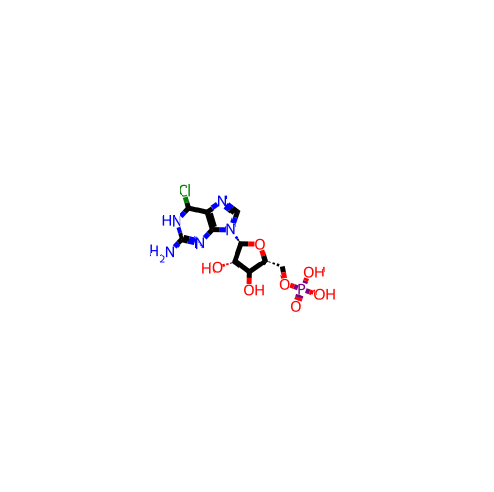 NC1=Nc2c(ncn2[C@@H]2O[C@H](COP(=O)(O)O)C(O)[C@@H]2O)C(Cl)N1